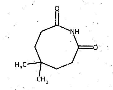 CC1(C)CCC(=O)NC(=O)CC1